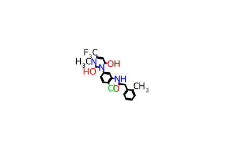 Cc1ccccc1CC(=O)Nc1cc(N2C(O)C=C(C(F)(F)F)N(C)C2O)ccc1Cl